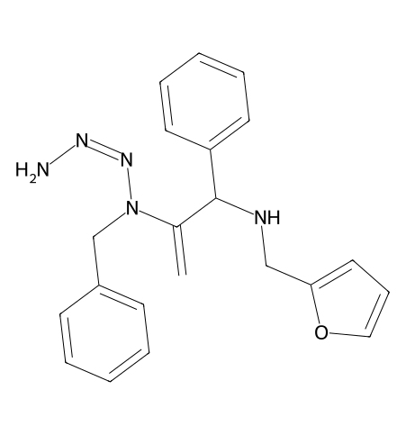 C=C(C(NCc1ccco1)c1ccccc1)N(Cc1ccccc1)/N=N\N